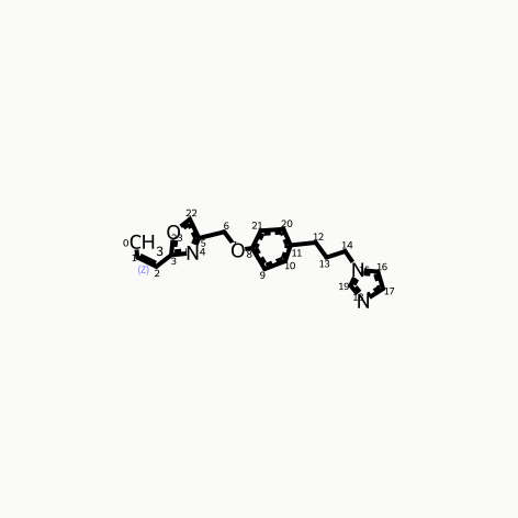 C/C=C\c1nc(COc2ccc(CCCn3ccnc3)cc2)co1